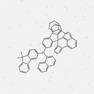 CC1(C)c2ccccc2-c2cc(N(c3ccc4c(c3)C3(c5ccccc5-4)c4ccccc4-c4cccc5ccc(C6CCCCC6)c3c45)c3cccc4ccccc34)ccc21